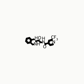 O=C(NC[C@@H](O)[C@@H]1Cc2ccccc2CN1)c1ccnc(C(F)(F)F)c1